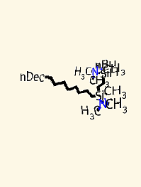 CCCCCCCCCCCCCCCCCC[Si](C)(CC[SiH](C)[N+](C)(C)CCCC)N(C)C